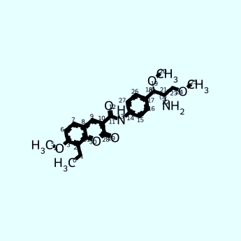 CCc1c(OC)ccc2cc(C(=O)Nc3ccc([C@H](OC)[C@@H](N)COC)cc3)c(=O)oc12